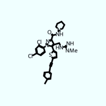 CNC(=N)NCc1c(C(=O)NN2CCCCC2)nn(-c2ccc(Cl)cc2Cl)c1-c1ccc(C#Cc2ccc(C)cc2)s1